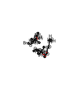 CC(C)C[C@H](NC(=O)[C@@](Cc1ccccc1)(NC(=O)c1ccc(C(=O)c2ccc(Br)cc2)cc1)[C@H](O)CCCc1ccccc1)C(=O)NC(Cc1ccccc1)C(N)=O.CC(C)[C@@H](CNC(=O)[C@@](Cc1ccccc1)(NC(=O)c1ccc(C(=O)c2ccccc2)cc1)[C@H](O)CCCc1ccccc1)C(=O)N[C@@H](Cc1ccccc1)C(=O)NCCCCCNC(=O)CCCC[C@@H]1SC[C@@H]2NC(=O)N[C@@H]21